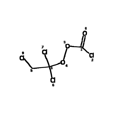 O=C(Cl)OOC(Cl)(Cl)CCl